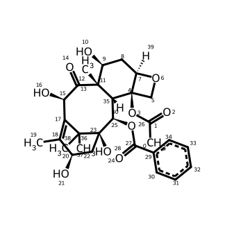 CC(=O)O[C@]12CO[C@@H]1C[C@H](O)[C@@]1(C)C(=O)[C@H](O)C3=C(C)[C@H](O)C[C@@](O)([C@H](OC(=O)c4ccccc4)[C@@H]21)C3(C)C